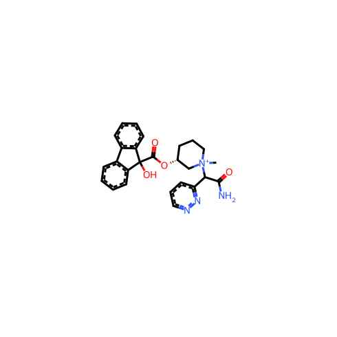 C[N+]1(C(C(N)=O)c2cccnn2)CCC[C@@H](OC(=O)C2(O)c3ccccc3-c3ccccc32)C1